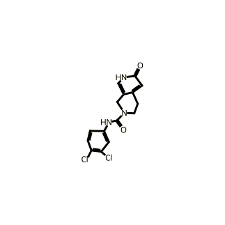 O=C(Nc1ccc(Cl)c(Cl)c1)N1CCc2cc(=O)[nH]cc2C1